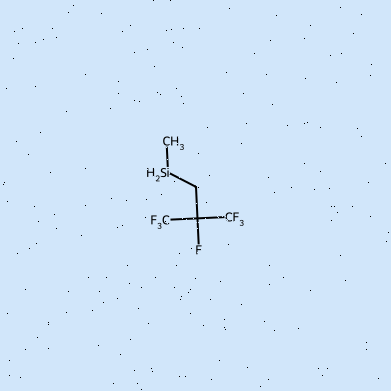 C[SiH2]CC(F)(C(F)(F)F)C(F)(F)F